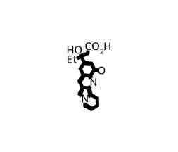 CCC(O)(CC(=O)O)C1=CC(=O)c2nc3c4n(cc3cc2C1)C=CCC4